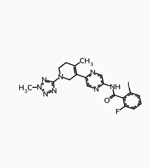 CC1=C(c2cnc(NC(=O)c3c(F)cccc3I)cn2)CN(c2nnn(C)n2)CC1